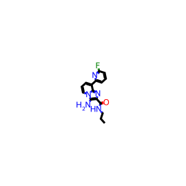 CCCNC(=O)c1nc2c(-c3cccc(F)n3)cccn2c1N